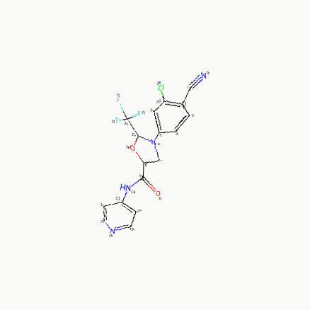 N#Cc1ccc(N2CC(C(=O)Nc3ccncc3)OC2C(F)(F)F)cc1Cl